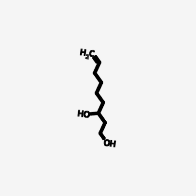 C=CCCCCC(O)CCO